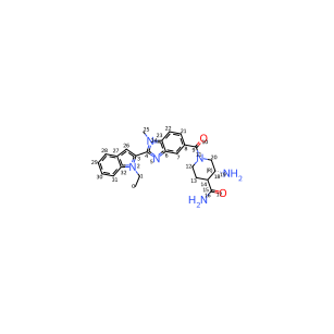 CCn1c(-c2nc3cc(C(=O)N4CCC(C(N)=O)[C@@H](N)C4)ccc3n2C)cc2ccccc21